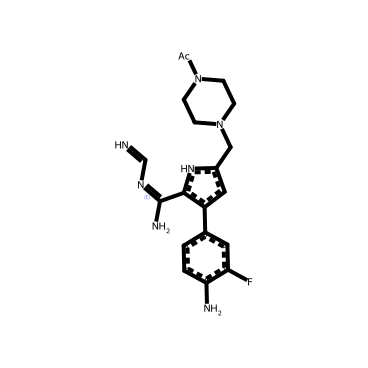 CC(=O)N1CCN(Cc2cc(-c3ccc(N)c(F)c3)c(/C(N)=N\C=N)[nH]2)CC1